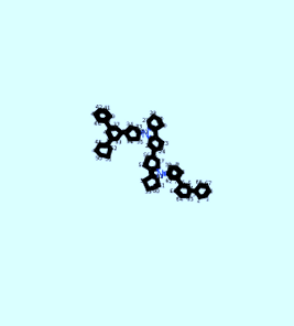 C1=CCC(C2C=C(c3cccc(-n4c5c(c6c4CC(C4=CC7C(C=C4)C4=C(CCC=C4)N7C4=CC=C(C7C=C(c8ccccc8)C=C(C8=CCCCC8)C7)CC4)C=C6)CCC=C5)c3)C=CC2)C=C1